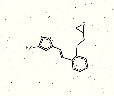 Cc1cc(C=Cc2ccccc2OCC2CO2)on1